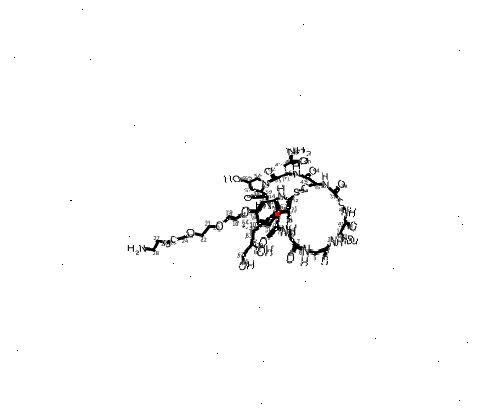 CC[C@H](C)[C@@H]1NC(=O)CNC(=O)C2Cc3c([nH]c4cc(OCCOCCOCCOCCN)ccc34)SCC(NC(=O)CNC1=O)C(=O)N[C@@H](CC(N)=O)C(=O)N1CC(O)CC1C(=O)N[C@@H]([C@@H](C)[C@@H](O)CO)C(=O)N2